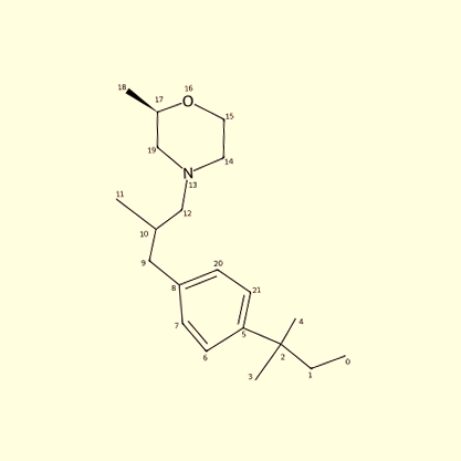 CCC(C)(C)c1ccc(CC(C)CN2CCO[C@H](C)C2)cc1